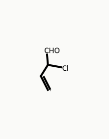 [CH]=CC(Cl)C=O